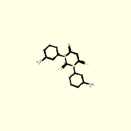 CC1CCCC(N2C(=O)CC(=O)N(C3CCCC(C)C3)C2=O)C1